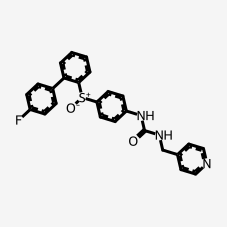 O=C(NCc1ccncc1)Nc1ccc([S+]([O-])c2ccccc2-c2ccc(F)cc2)cc1